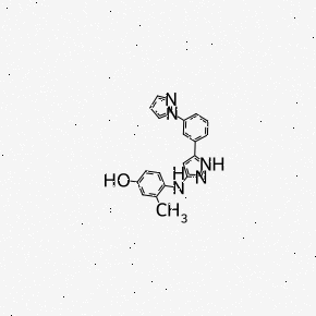 Cc1cc(O)ccc1Nc1cc(-c2cccc(-n3cccn3)c2)[nH]n1